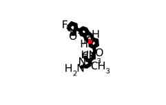 Cc1cc(N)nc(C)c1CNC(=O)c1ccc2c(c1)[C@@H]1O[C@H]2c2ccc(-c3ccc(F)c[n+]3[O-])cc21